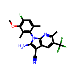 COc1c(F)cc(C)c(-n2c(N)c(C#N)c3cc(C(F)(F)F)c(C)nc32)c1C